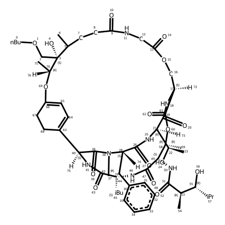 CCCCOC[C@@]1(O)C(C)CCC(=O)NCC(=O)OC[C@@H]2NC(=O)[C@@H]([C@@H](C)O)NC(=O)[C@H](Cc3ccccc3)N(C)C(=O)[C@@H](NC(=O)[C@@H]([C@@H](C)CC)NC(=O)[C@@H](NC(=O)[C@H](C)[C@H](O)C(C)C)[C@@H](C)OC2=O)C2=CC=C(CC2)O[C@@H]1C